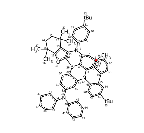 Cc1cc2c3c(c1)N(c1ccc(C(C)(C)C)cc1)c1c(oc4c1C(C)(C)CCC4(C)C)B3c1ccc(N(c3ccccc3)c3ccccc3)cc1N2c1ccc(C(C)(C)C)cc1-c1ccccc1